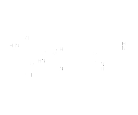 CCOc1cc(N)c(Cl)cc1C(=O)NC1CCN(CCCCCC(=O)Nc2ccc3[nH]ccc3c2)CC1OC